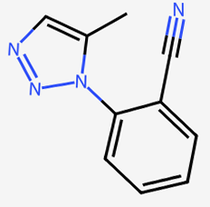 Cc1cnnn1-c1ccccc1C#N